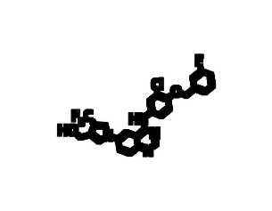 OCc1cn(-c2ccc3ncnc(Nc4ccc(OCc5cccc(F)c5)c(Cl)c4)c3c2)cc1C(F)(F)F